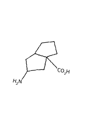 NC1CC2CCCC2(C(=O)O)C1